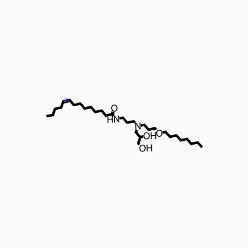 CCCC/C=C\CCCCCCCC(=O)NCCCN(CCCOCCCCCCCC)CC(O)CO